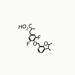 CC(Cc1cc(F)c(OCc2cccc3c2OC(C)C3C)c(F)c1)C(=O)O